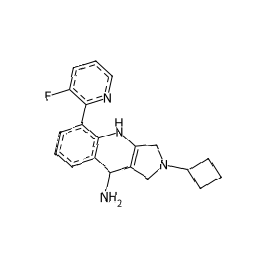 NC1C2=C(CN(C3CCC3)C2)Nc2c(-c3ncccc3F)cccc21